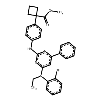 CCN(c1cc(-c2ccccc2)nc(Nc2ccc(C3(C(=O)OC)CCC3)cc2)n1)c1ccccc1O